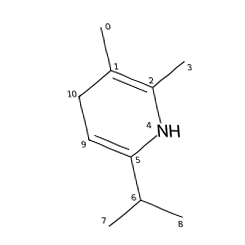 CC1=C(C)NC(C(C)C)=CC1